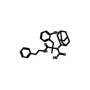 CC(Cc1ccccc1O)(C(=O)NCCc1ccccc1)N(C(=O)O)C1C2CC3CC(C2)CC1C3